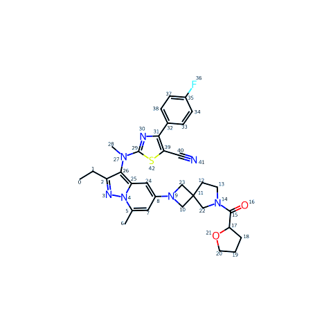 CCc1nn2c(C)cc(N3CC4(CCN(C(=O)C5CCCO5)C4)C3)cc2c1N(C)c1nc(-c2ccc(F)cc2)c(C#N)s1